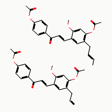 C=CCc1cc(C=CC(=O)c2ccc(OC(=O)C(C)(C)C)cc2)c(OCC)cc1OC(=O)C(C)(C)C.CC=CCc1cc(C=CC(=O)c2ccc(OC(=O)C(C)(C)C)cc2)c(OCC)cc1OC(=O)C(C)(C)C